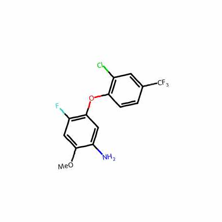 COc1cc(F)c(Oc2ccc(C(F)(F)F)cc2Cl)cc1N